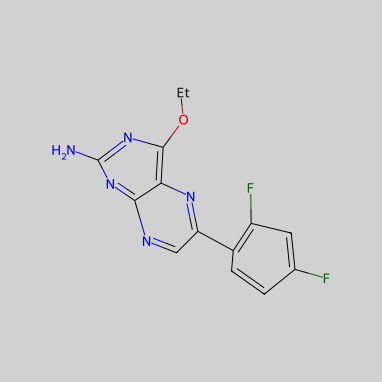 CCOc1nc(N)nc2ncc(-c3ccc(F)cc3F)nc12